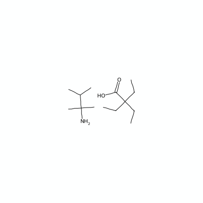 CC(C)C(C)(C)N.CCC(CC)(CC)C(=O)O